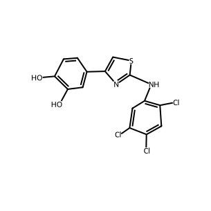 Oc1ccc(-c2csc(Nc3cc(Cl)c(Cl)cc3Cl)n2)cc1O